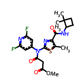 COC(=O)CC(=O)N(c1cc(F)nc(F)c1)c1nc(C(=O)NC2CCC2(C)C)c(C)s1